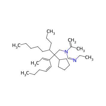 C=C(C)N(/C=N\CC)CC(C(/C=C\CCC)=C/C)(C(CCC)CCCCC)C1CCCC1